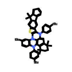 CC(C)(C)c1ccc(N2c3ccc(C(C)(C)C)cc3N3c4sc5cc6c(cc5c4N(c4ccc(C(C)(C)C)cc4)c4cc5c(c2c43)C(C)(C)CCC5(C)C)-c2ccccc2C6(C)C)cc1